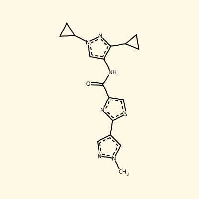 Cn1cc(-c2nc(C(=O)Nc3cn(C4CC4)nc3C3CC3)cs2)cn1